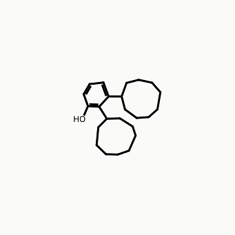 Oc1cccc(C2CCCCCCCC2)c1C1CCCCCCCC1